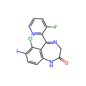 O=C1CN=C(c2ncccc2F)c2c(ccc(I)c2Cl)N1